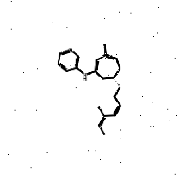 C/C=C(C)\C=C/CC[C@H]1CC=C(C)C=C(Nc2ccccc2)C1